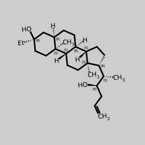 C=CC[C@@H](O)[C@@H](C)[C@H]1CC[C@H]2[C@@H]3CC[C@@H]4C[C@@](O)(CC)CC[C@]4(C)[C@H]3CC[C@]12C